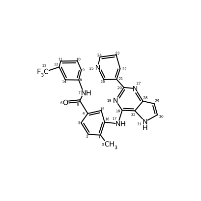 Cc1ccc(C(=O)Nc2cccc(C(F)(F)F)c2)cc1Nc1nc(-c2cccnc2)nc2cc[nH]c12